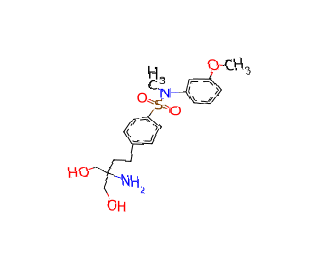 COc1cccc(N(C)S(=O)(=O)c2ccc(CCC(N)(CO)CO)cc2)c1